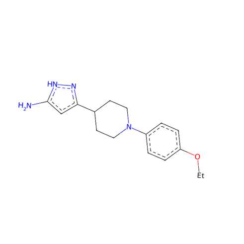 CCOc1ccc(N2CCC(c3cc(N)[nH]n3)CC2)cc1